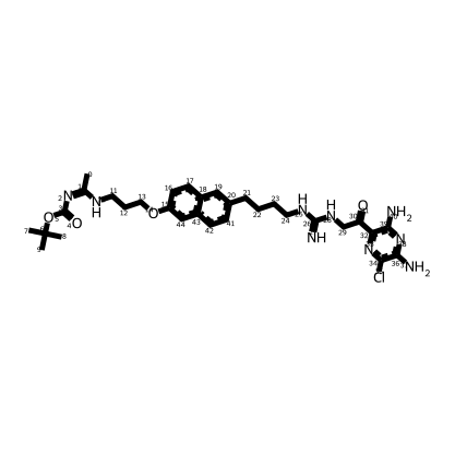 C/C(=N/C(=O)OC(C)(C)C)NCCCOc1ccc2cc(CCCCNC(=N)NCC(=O)c3nc(Cl)c(N)nc3N)ccc2c1